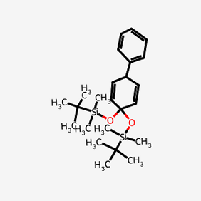 CC(C)(C)[Si](C)(C)OC1(O[Si](C)(C)C(C)(C)C)C=CC(c2ccccc2)C=C1